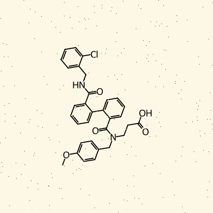 COc1ccc(CN(CCC(=O)O)C(=O)c2ccccc2-c2ccccc2C(=O)NCc2ccccc2Cl)cc1